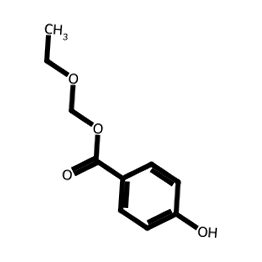 CCOCOC(=O)c1ccc(O)cc1